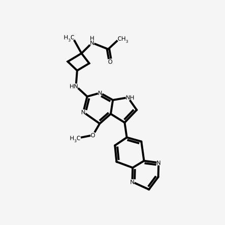 COc1nc(NC2CC(C)(NC(C)=O)C2)nc2[nH]cc(-c3ccc4nccnc4c3)c12